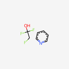 OC(F)(F)CF.c1ccncc1